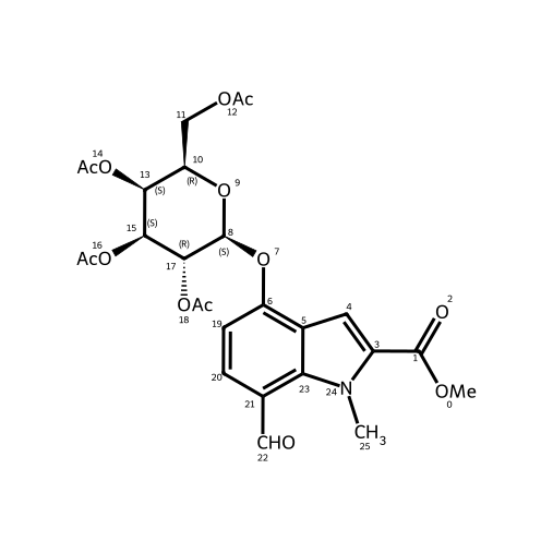 COC(=O)c1cc2c(O[C@@H]3O[C@H](COC(C)=O)[C@H](OC(C)=O)[C@H](OC(C)=O)[C@H]3OC(C)=O)ccc(C=O)c2n1C